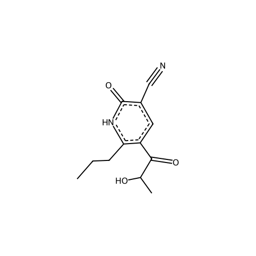 CCCc1[nH]c(=O)c(C#N)cc1C(=O)C(C)O